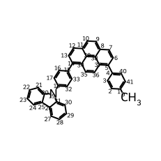 Cc1ccc(-c2ccc3ccc4ccc(-c5ccc(-n6c7ccccc7c7ccccc76)cc5)c5ccc2c3c45)cc1